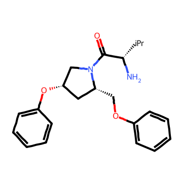 CC(C)[C@H](N)C(=O)N1C[C@@H](Oc2ccccc2)C[C@H]1COc1ccccc1